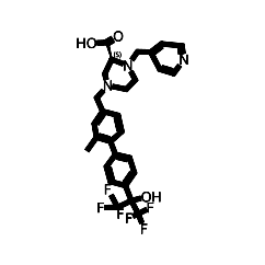 Cc1cc(CN2CCN(Cc3ccncc3)[C@H](C(=O)O)C2)ccc1-c1ccc(C(O)(C(F)(F)F)C(F)(F)F)cc1